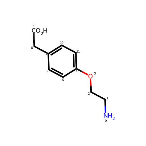 NCCOc1ccc(CC(=O)O)cc1